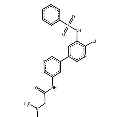 CN(C)CC(=O)Nc1cncc(-c2cnc(Cl)c(NS(=O)(=O)c3ccccc3)c2)c1